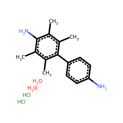 Cc1c(C)c(-c2ccc(N)cc2)c(C)c(C)c1N.Cl.Cl.O.O